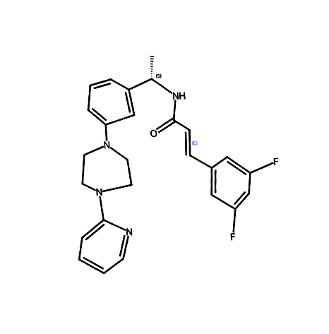 C[C@H](NC(=O)/C=C/c1cc(F)cc(F)c1)c1cccc(N2CCN(c3ccccn3)CC2)c1